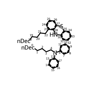 CCCCCCCCCCCCCCN(c1ccccc1)c1ccccc1.CCCCCCCCCCCCCCc1cccc2c1Nc1ccccc1S2